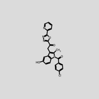 Cc1c(CC(=O)c2nnc(-c3ccccn3)o2)c2cc(O)ccc2n1C(=O)c1ccc(Cl)cc1